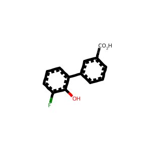 O=C(O)c1cccc(-c2cccc(F)c2O)c1